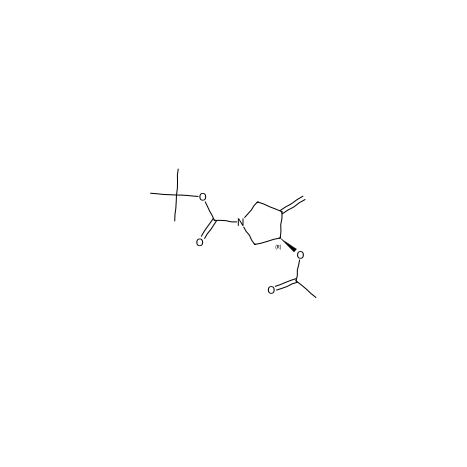 C=C1CN(C(=O)OC(C)(C)C)C[C@@H]1OC(C)=O